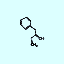 [CH]=C(C=C)Cc1ccccc1